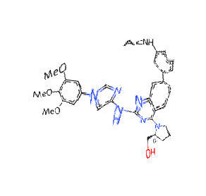 COc1cc(-n2cnc(Nc3nc(N4CCC[C@H]4CO)c4ccc(-c5cccc(NC(C)=O)c5)cc4n3)c2)cc(OC)c1OC